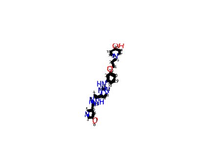 COc1cncc(-c2ncc(-c3ccnc(Nc4cccc(OCCCN5CCC(O)CC5)c4)n3)[nH]2)c1